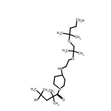 CC(C)C(C)(C)CC(C)(C)C(=O)N1CCC(NCCOC(C)(C)COC(C)(C)CCC(=O)O)CC1